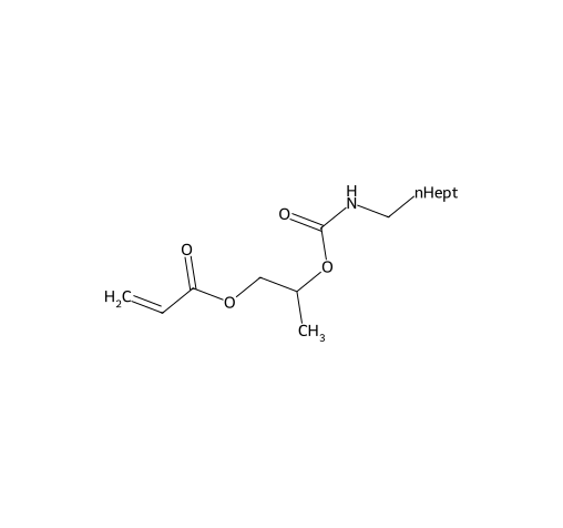 C=CC(=O)OCC(C)OC(=O)NCCCCCCCC